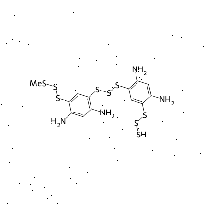 CSSSc1cc(SSSc2cc(SSS)c(N)cc2N)c(N)cc1N